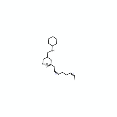 C/C=C\CC/C=C\CC(=O)OC(CNC1CCCCC1)CS(=O)(=O)O